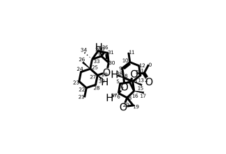 CC(=O)OC1C[C@H]2O[C@@H]3C=C(C)CC[C@]3(C)[C@]1(C)C21CO1.CC1CC[C@@]2(C)[C@@H](C1)OC1=CC[C@@]2(C)[C@@H]1C